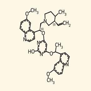 C=C[C@H]1CN(C[C@@H](Oc2cc(OC(C)c3ccnc4ccc(OC)cc34)nc(O)n2)c2ccnc3ccc(OC)cc23)CCC1C